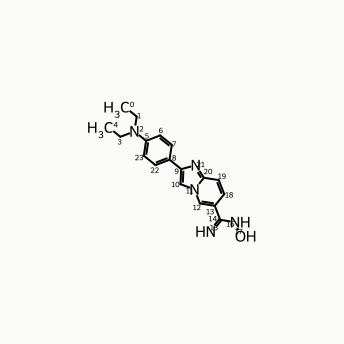 CCN(CC)c1ccc(-c2cn3cc(C(=N)NO)ccc3n2)cc1